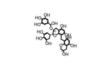 OC1=CC([C@H]2Oc3c(Cc4c(O)cc(O)c5c4OC[C@H](O)C5)c(O)cc(O)c3C[C@H]2OC(O)c2cc(O)c(O)c(O)c2)CC(O)=C1O